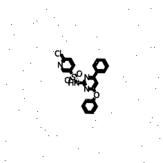 O=S(=O)(Nc1nc(Oc2ccccc2)cc(-c2ccccc2)n1)c1ccc(Cl)nc1